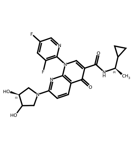 C[C@@H](NC(=O)c1cn(-c2ncc(F)cc2F)c2nc(N3CC(O)[C@@H](O)C3)ccc2c1=O)C1CC1